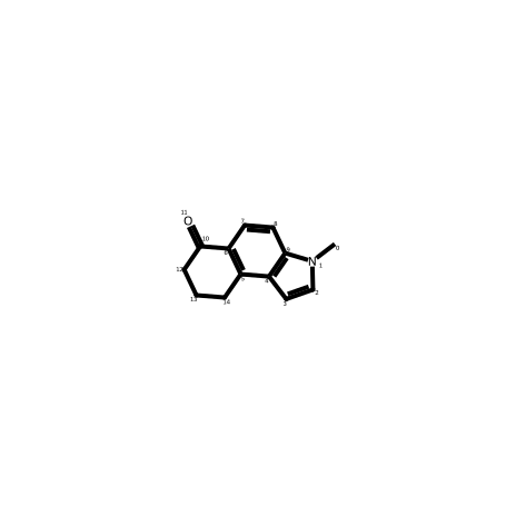 Cn1ccc2c3c(ccc21)C(=O)CCC3